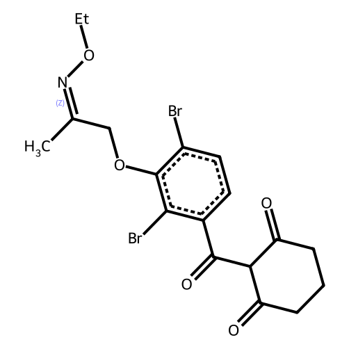 CCO/N=C(/C)COc1c(Br)ccc(C(=O)C2C(=O)CCCC2=O)c1Br